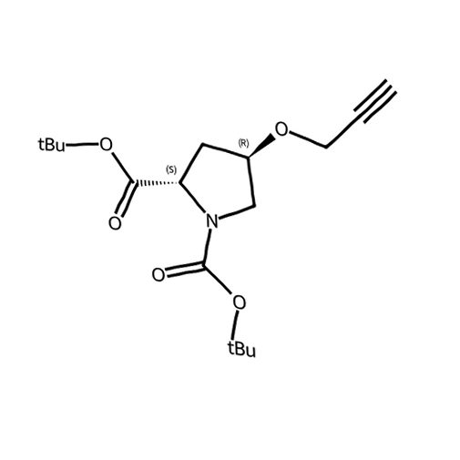 C#CCO[C@@H]1C[C@@H](C(=O)OC(C)(C)C)N(C(=O)OC(C)(C)C)C1